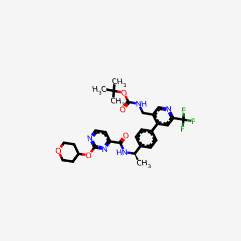 C[C@@H](NC(=O)c1ccnc(OC2CCOCC2)n1)c1ccc(-c2cc(C(F)(F)F)ncc2CNC(=O)OC(C)(C)C)cc1